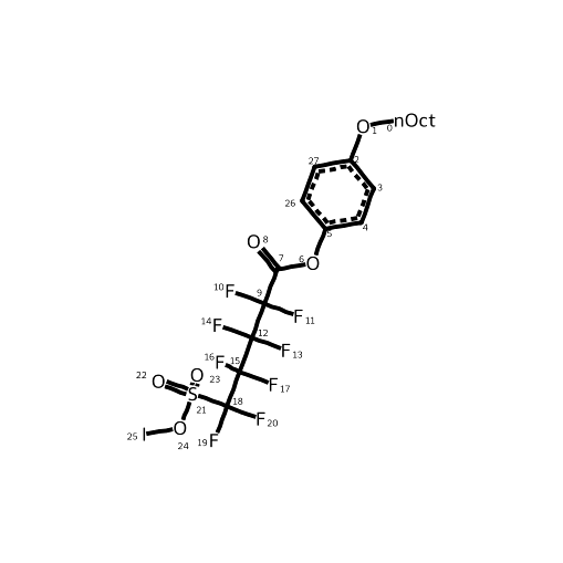 CCCCCCCCOc1ccc(OC(=O)C(F)(F)C(F)(F)C(F)(F)C(F)(F)S(=O)(=O)OI)cc1